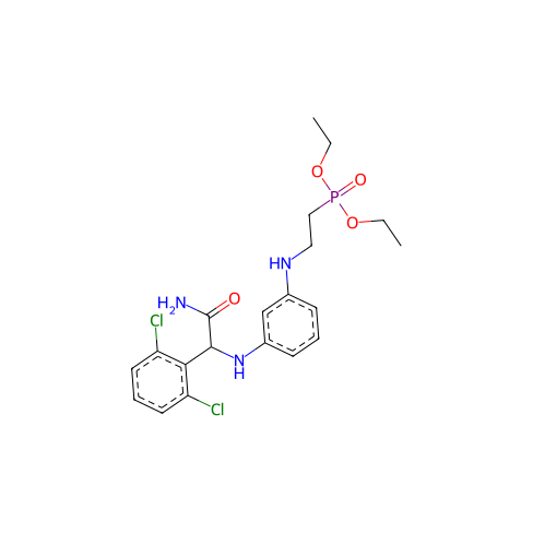 CCOP(=O)(CCNc1cccc(NC(C(N)=O)c2c(Cl)cccc2Cl)c1)OCC